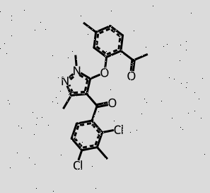 CC(=O)c1ccc(C)cc1Oc1c(C(=O)c2ccc(Cl)c(C)c2Cl)c(C)nn1C